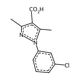 Cc1nn(-c2cccc(Cl)c2)c(C)c1C(=O)O